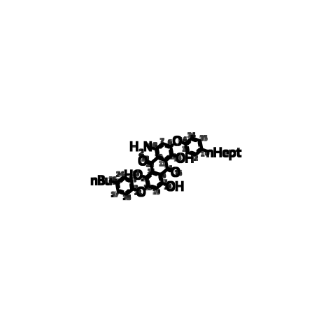 CCCCCCCc1ccc(Oc2cc(N)c3c(c2O)C(=O)c2c(O)cc(Oc4ccc(CCCC)cc4)c(O)c2C3=O)cc1